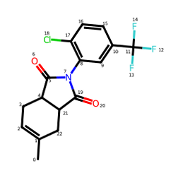 CC1=CCC2C(=O)N(c3cc(C(F)(F)F)ccc3Cl)C(=O)C2C1